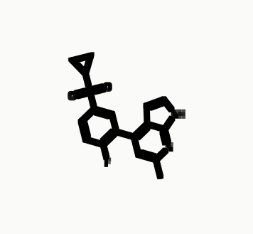 Cc1cc(-c2cc(S(=O)(=O)C3CC3)ccc2F)c2cc[nH]c2n1